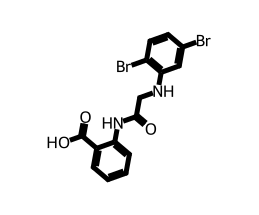 O=C(CNc1cc(Br)ccc1Br)Nc1ccccc1C(=O)O